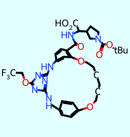 CC(C)(C)OC(=O)N1CCC(C(NC(=O)c2ccc3cc2OCCCCCCOc2ccc(cc2)CNc2nc(nc(OCC(F)(F)F)n2)N3)C(=O)O)C1